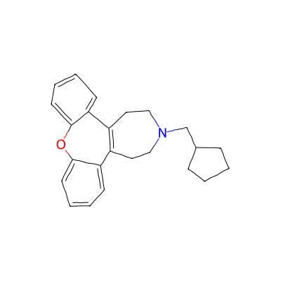 c1ccc2c(c1)Oc1ccccc1C1=C2CCN(CC2CCCC2)CC1